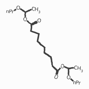 CCCOC(C)OC(=O)CCCCCCCC(=O)OC(C)OCCC